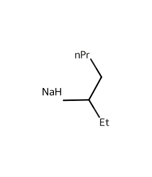 CCCCC(C)CC.[NaH]